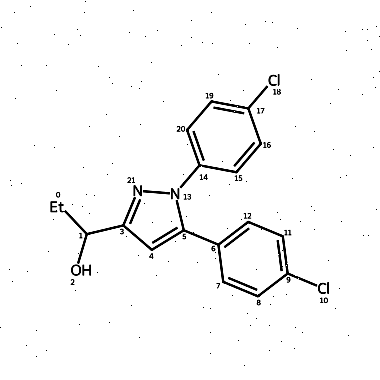 CCC(O)c1cc(-c2ccc(Cl)cc2)n(-c2ccc(Cl)cc2)n1